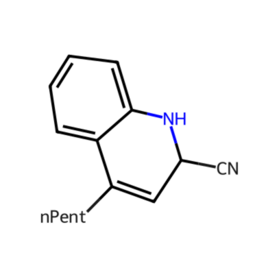 CCCCCC1=CC(C#N)Nc2ccccc21